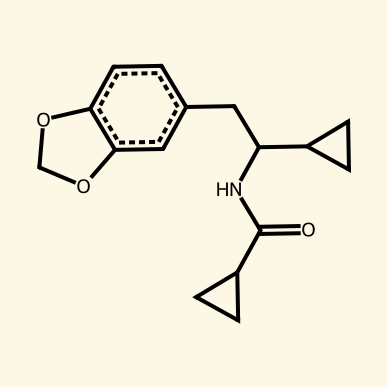 O=C(NC(Cc1ccc2c(c1)OCO2)C1CC1)C1CC1